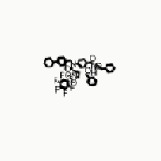 O=C(NOCc1ccccc1)c1ccc(N(Cc2ccc(C3CCCCC3)cc2)C(=O)[C@H]2CCN2S(=O)(=O)c2c(F)c(F)c(F)c(F)c2F)cc1OCc1ccccc1